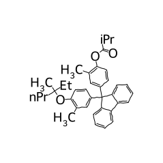 CCCC(C)(CC)Oc1ccc(C2(c3ccc(OC(=O)C(C)C)c(C)c3)c3ccccc3-c3ccccc32)cc1C